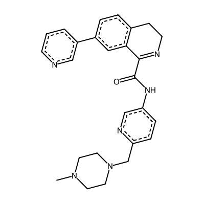 CN1CCN(Cc2ccc(NC(=O)C3=NCCc4ccc(-c5cccnc5)cc43)cn2)CC1